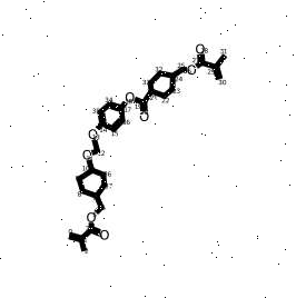 C=C(C)C(=O)OCC1CCC(OCOc2ccc(OC(=O)C3CCC(COC(=O)C(=C)C)CC3)cc2)CC1